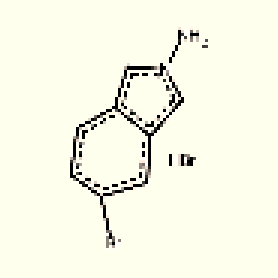 Br.Nn1cc2ccc(Br)cc2c1